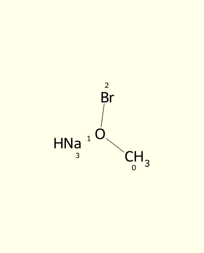 COBr.[NaH]